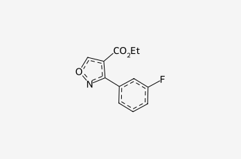 CCOC(=O)c1conc1-c1cccc(F)c1